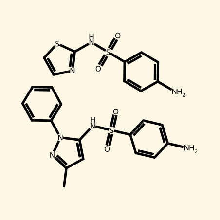 Cc1cc(NS(=O)(=O)c2ccc(N)cc2)n(-c2ccccc2)n1.Nc1ccc(S(=O)(=O)Nc2nccs2)cc1